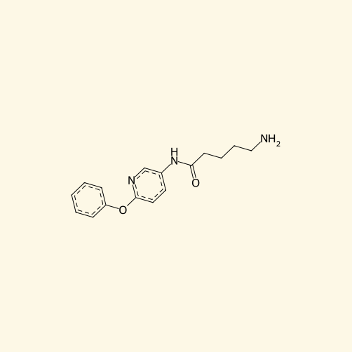 NCCCCC(=O)Nc1ccc(Oc2ccccc2)nc1